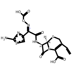 C=CC1=C(C(=O)O)N2C(=O)[C@@H](NC(=O)/C(=N/OC(=O)O)c3csc(N)n3)[C@H]2SC1